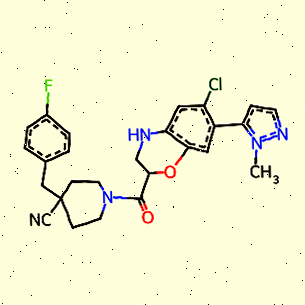 Cn1nccc1-c1cc2c(cc1Cl)NCC(C(=O)N1CCC(C#N)(Cc3ccc(F)cc3)CC1)O2